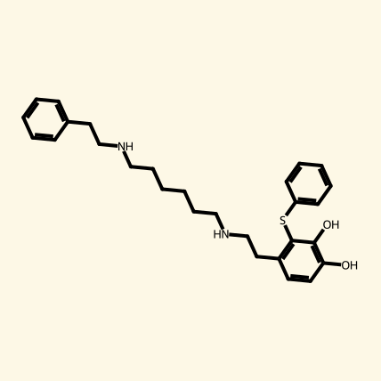 Oc1ccc(CCNCCCCCCNCCc2ccccc2)c(Sc2ccccc2)c1O